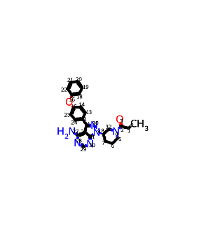 CCC(=O)N1CCC[C@@H](n2nc(-c3ccc(Oc4ccccc4)cc3)c3c(N)ncnc32)C1